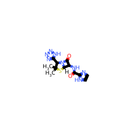 CC1(C)S[C@@H]2C(NC(=O)c3ncc[nH]3)C(=O)N2C1c1nnn[nH]1